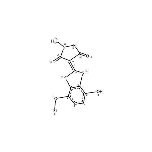 CCOc1ccc(O)c2c1S/C(=C1/C(=O)NN(C)C1=O)S2